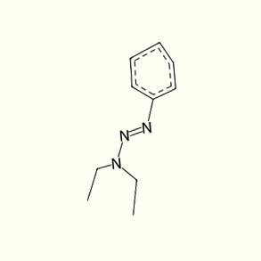 CCN(CC)N=Nc1ccccc1